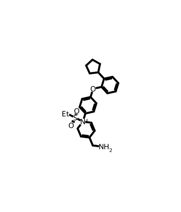 CCS(=O)(=O)[N+]1(c2ccc(Oc3ccccc3C3CCCC3)cc2)C=CC(CN)=CC1